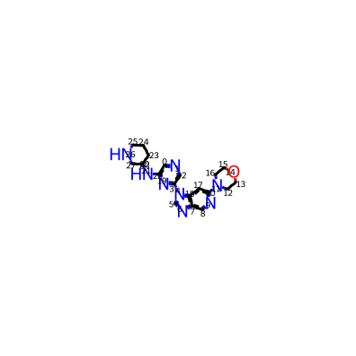 c1ncc(-n2cnc3cnc(N4CCOCC4)cc32)nc1N[C@@H]1CCCNC1